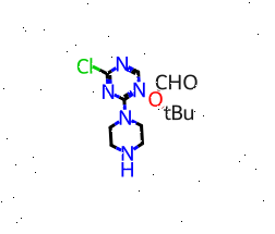 CC(C)(C)OC=O.Clc1ncnc(N2CCNCC2)n1